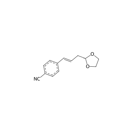 N#Cc1ccc(C=CC[C]2OCCO2)cc1